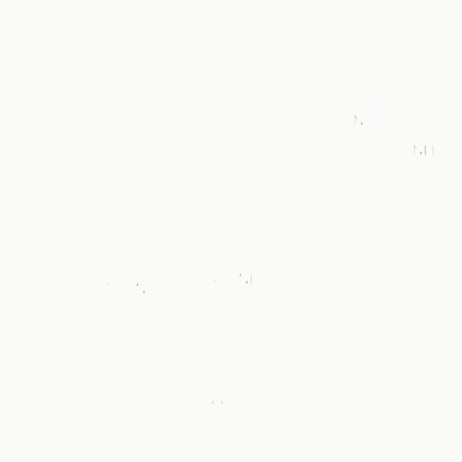 COc1ccc(NC(=O)OC(C)(C)C)c(C(=O)NCCc2ccc(/N=C(\N)c3cccs3)cc2)c1